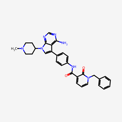 CN1CCC(n2cc(-c3ccc(NC(=O)c4cccn(Cc5ccccc5)c4=O)cc3)c3c(N)ncnc32)CC1